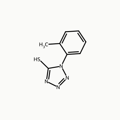 Cc1ccccc1-n1nnnc1S